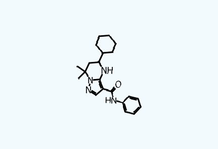 CC1(C)CC(C2CCCCC2)Nc2c(C(=O)Nc3ccccc3)cnn21